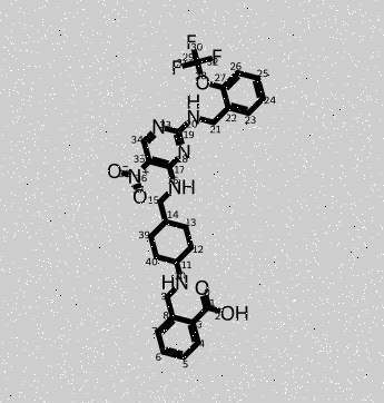 O=C(O)c1ccccc1CNC1CCC(CNc2nc(NCc3ccccc3OC(F)(F)F)ncc2[N+](=O)[O-])CC1